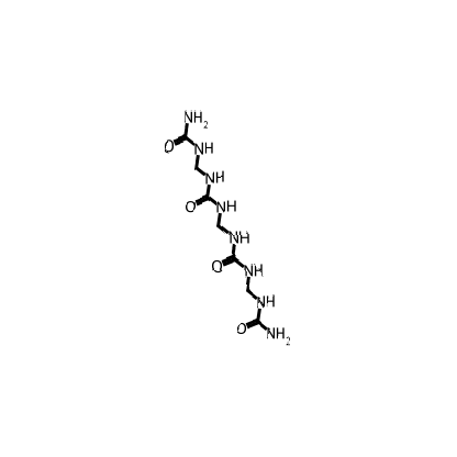 NC(=O)NCNC(=O)NCNC(=O)NCNC(N)=O